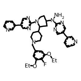 CCOc1cc(CN2CCC(C3CC(N(N)c4ncc(-c5cccnc5)cn4)CCN3c3ncc(-c4cccnc4)cn3)CC2)cc(OCC)c1F